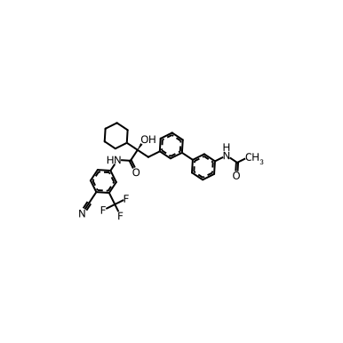 CC(=O)Nc1cccc(-c2cccc(C[C@](O)(C(=O)Nc3ccc(C#N)c(C(F)(F)F)c3)C3CCCCC3)c2)c1